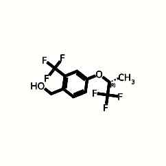 C[C@@H](Oc1ccc(CO)c(C(F)(F)F)c1)C(F)(F)F